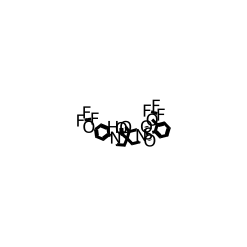 O=C1N(c2ccc(OC(F)(F)F)cc2)CCC12CCN(S(=O)(=O)c1ccccc1OC(F)(F)F)CC2O